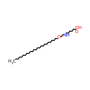 CCCCCCCCCCCCCCCCCCCCCCCCCOCCNCCCCCC(=O)O